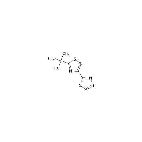 CC(C)(C)c1nc(-c2nncs2)ns1